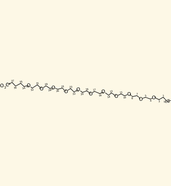 NCCOCCOCCOCCOCCOCCOCCOCCOCCOCCOCCOCCCCC(=O)O